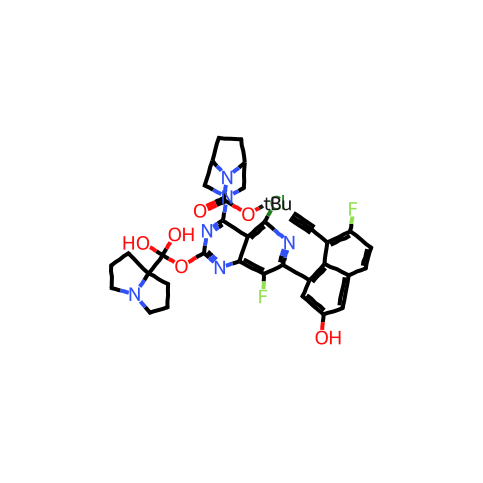 C#Cc1c(F)ccc2cc(O)cc(-c3nc(Cl)c4c(N5CC6CCC(C5)N6C(=O)OC(C)(C)C)nc(OC(O)(O)C56CCCN5CCC6)nc4c3F)c12